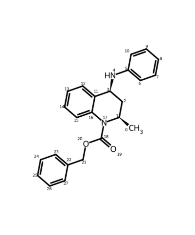 C[C@@H]1C[C@H](Nc2ccccc2)c2ccccc2N1C(=O)OCc1ccccc1